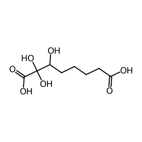 O=C(O)CCCCC(O)C(O)(O)C(=O)O